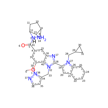 COc1cc(C(=O)N2CC3CCC2[C@@H]3N)cc2nc(-c3cc4ccccc4n3CC3CC3)n(Cc3ccnn3C)c12